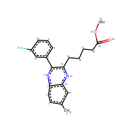 Cc1ccc2nc(-c3cccc(F)c3)c(CCCCC(=O)OC(C)(C)C)nc2c1